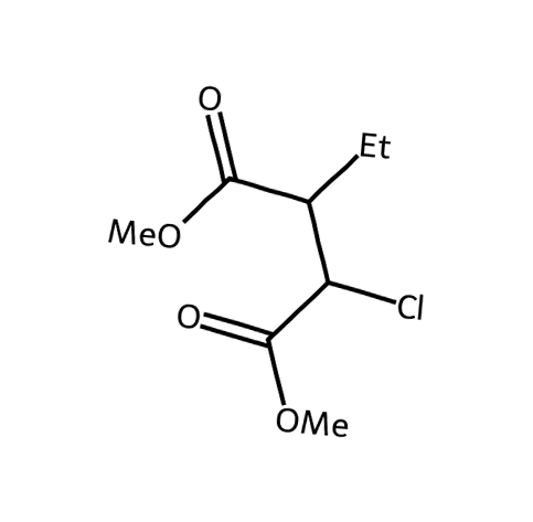 CCC(C(=O)OC)C(Cl)C(=O)OC